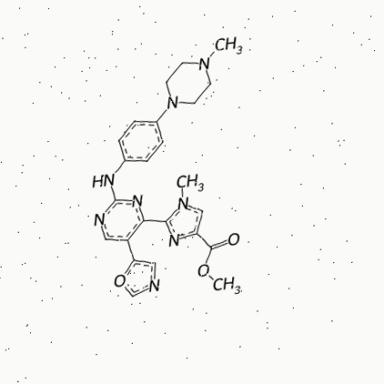 COC(=O)c1cn(C)c(-c2nc(Nc3ccc(N4CCN(C)CC4)cc3)ncc2-c2cnco2)n1